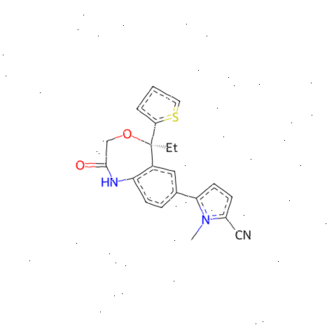 CC[C@@]1(c2cccs2)OCC(=O)Nc2ccc(-c3ccc(C#N)n3C)cc21